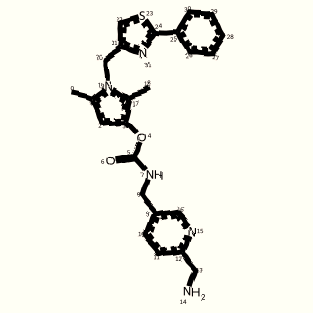 Cc1cc(OC(=O)NCc2ccc(CN)nc2)c(C)n1Cc1csc(-c2ccccc2)n1